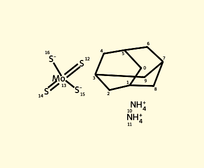 C1C2CC3CC1CC(C2)C3.[NH4+].[NH4+].[S]=[Mo](=[S])([S-])[S-]